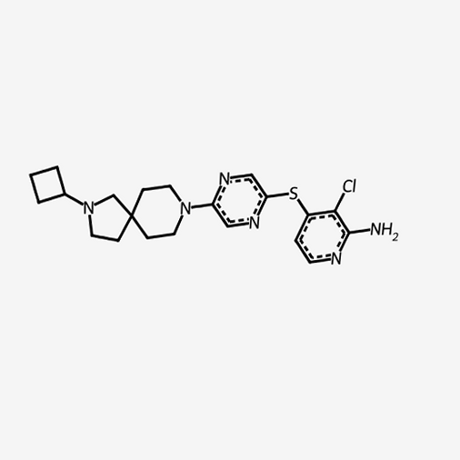 Nc1nccc(Sc2cnc(N3CCC4(CC3)CCN(C3CCC3)C4)cn2)c1Cl